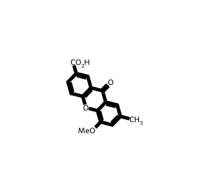 COc1cc(C)cc2c(=O)c3cc(C(=O)O)ccc3oc12